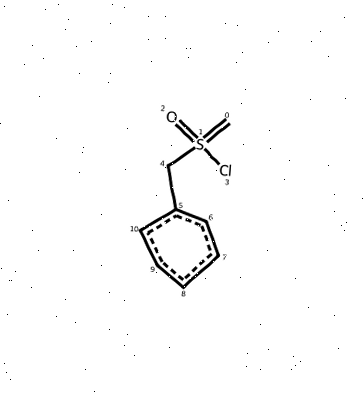 C=S(=O)(Cl)Cc1ccccc1